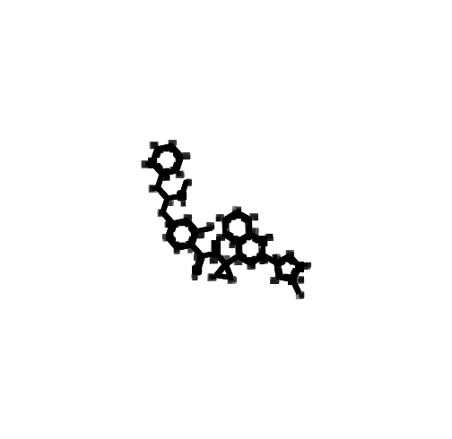 COC(Cc1ccc(C(=O)NC2(c3cc(-c4cnn(C)c4)nc4ccccc34)CC2)c(C)c1)Cc1ccccn1